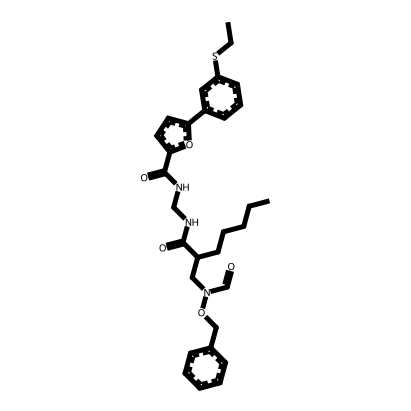 CCCCCC(CN(C=O)OCc1ccccc1)C(=O)NCNC(=O)c1ccc(-c2cccc(SCC)c2)o1